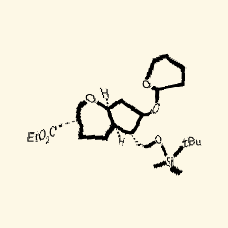 CCOC(=O)[C@H]1CC[C@@H]2[C@@H](CO[Si](C)(C)C(C)(C)C)[C@H](OC3CCCCO3)C[C@@H]2OC1